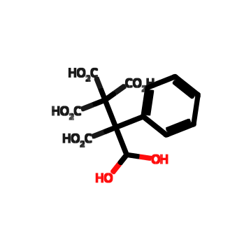 O=C(O)C(C(=O)O)(C(=O)O)C(C(=O)O)(c1ccccc1)C(O)O